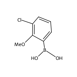 COc1c(Cl)cccc1B(O)O